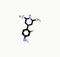 CC1CC(c2ccc(N)cc2F)CC(C)N1